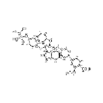 CC(C)Oc1cc(-c2ccc(COC(=O)C(Cc3ccc(OP(=O)(O)C(F)F)cc3)(c3ccccc3)n3nnc4ccccc43)cc2)ccc1C(=O)O